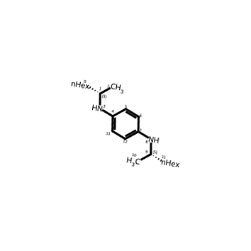 CCCCCC[C@H](C)Nc1ccc(N[C@@H](C)CCCCCC)cc1